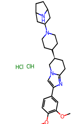 COc1ccc(-c2cn3c(n2)CC[C@H](C2CCN(C4CC5CCC(C4)N5)CC2)C3)cc1OC.Cl.Cl